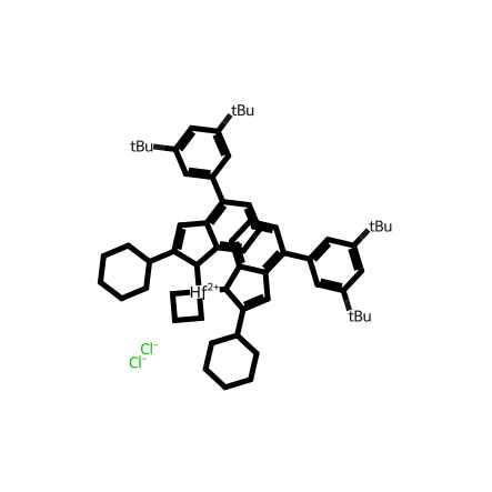 CC(C)(C)c1cc(-c2cccc3c2C=C(C2CCCCC2)[CH]3[Hf+2]2([CH]3C(C4CCCCC4)=Cc4c(-c5cc(C(C)(C)C)cc(C(C)(C)C)c5)cccc43)[CH2]C[CH2]2)cc(C(C)(C)C)c1.[Cl-].[Cl-]